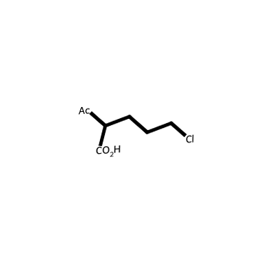 CC(=O)C(CCCCl)C(=O)O